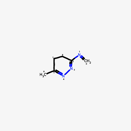 C=NC1=NN=C(C)CC1